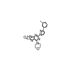 Cc1cccc(-c2ccn(-c3nc(N4CCOCC4)c4nc(C=O)[nH]c4n3)n2)c1